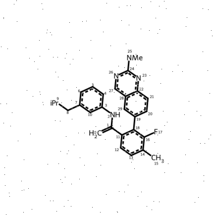 C=C(Nc1cccc(CC(C)C)c1)c1ccc(C)c(F)c1-c1ccc2nc(NC)ncc2c1